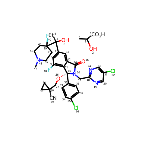 CC(O)C(=O)O.CCC(O)(c1cc(F)c2c(c1)C(=O)N(Cc1ncc(Cl)cn1)[C@@]2(OCC1(C#N)CC1)c1ccc(Cl)cc1)C1(F)CCN(C)CC1